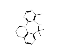 CC1(C)Nc2c(Cl)ncnc2N2CCCc3cccc1c32